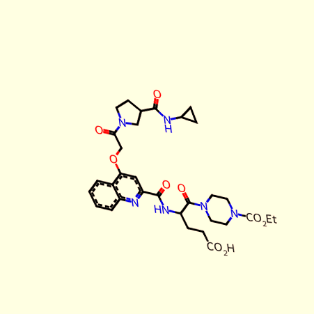 CCOC(=O)N1CCN(C(=O)C(CCC(=O)O)NC(=O)c2cc(OCC(=O)N3CCC(C(=O)NC4CC4)C3)c3ccccc3n2)CC1